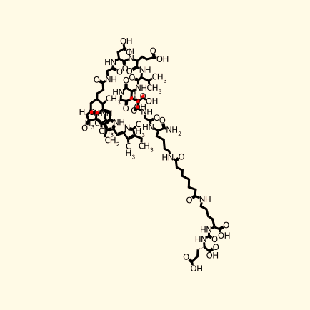 C=Cc1c(/C=C2\N=C(C)C(CC)=C2C)[nH]c(/C=C(\N=C)C(C)C(CCC(=O)NCC(=O)NC(CC(=O)O)C(=O)NC(CCC(=O)O)C(=O)NC(C(=O)NC(CC(=O)O)C(=O)NCC(=O)NC(CO)C(=O)NCC(=O)NC(CCCCNC(=O)CCCCCCC(=O)NCCCCC(NC(=O)N[C@@H](CCC(=O)O)C(=O)O)C(=O)O)C(N)=O)C(C)C)CC2=C3NCC(C)=C3C(=O)C2)c1C